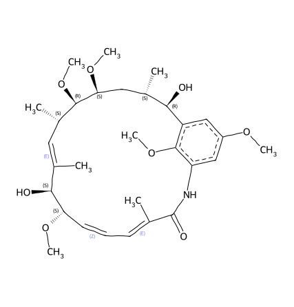 COc1cc2c(OC)c(c1)[C@H](O)[C@@H](C)C[C@H](OC)[C@H](OC)[C@@H](C)/C=C(\C)[C@H](O)[C@@H](OC)/C=C\C=C(/C)C(=O)N2